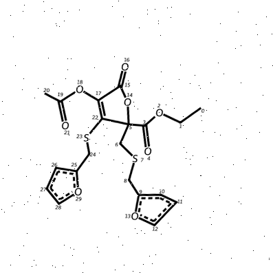 CCOC(=O)C1(CSCc2ccco2)OC(=O)C(OC(C)=O)=C1SCc1ccco1